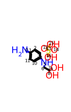 Nc1ccc(NCC(O)O)cc1.O=S(=O)(O)O